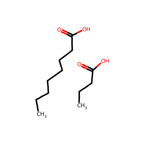 CCCC(=O)O.CCCCCCCC(=O)O